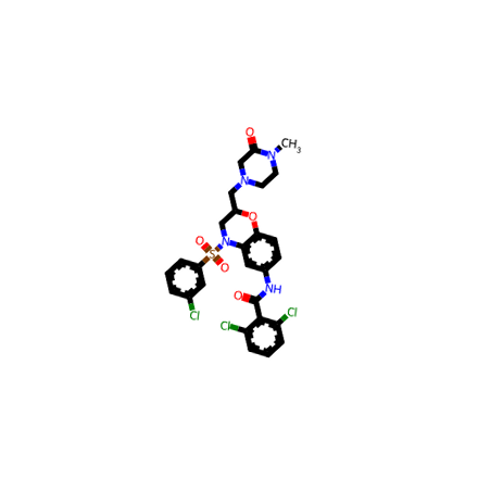 CN1CCN(CC2CN(S(=O)(=O)c3cccc(Cl)c3)c3cc(NC(=O)c4c(Cl)cccc4Cl)ccc3O2)CC1=O